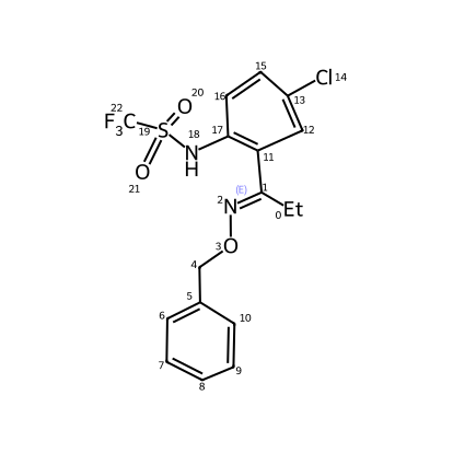 CC/C(=N\OCc1ccccc1)c1cc(Cl)ccc1NS(=O)(=O)C(F)(F)F